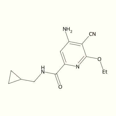 CCOc1nc(C(=O)NCC2CC2)cc(N)c1C#N